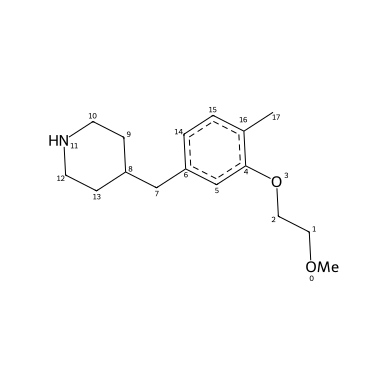 COCCOc1cc(CC2CCNCC2)ccc1C